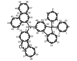 c1ccc(C2(c3ccccc3)c3ccccc3-c3cc(N(c4ccc5oc6ccccc6c5c4)c4cc5ccccc5c5ccccc45)ccc32)cc1